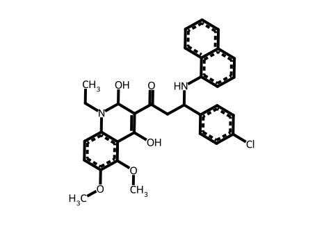 CCN1c2ccc(OC)c(OC)c2C(O)=C(C(=O)CC(Nc2cccc3ccccc23)c2ccc(Cl)cc2)C1O